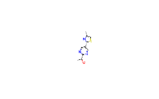 CC(=O)c1ncc(-c2nc(C)cs2)cn1